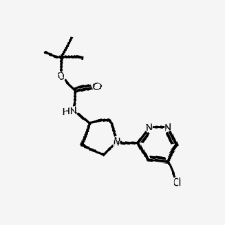 CC(C)(C)OC(=O)NC1CCN(c2cc(Cl)cnn2)C1